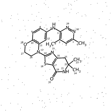 Cc1cc(C)c(Nc2ccc3c(c2)N(c2nc4c(s2)C(=O)NC(C)(C)C4)CCO3)nn1